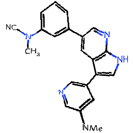 CNc1cncc(-c2c[nH]c3ncc(-c4cccc(N(C)C#N)c4)cc23)c1